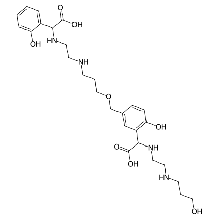 O=C(O)C(NCCNCCCO)c1cc(COCCCNCCNC(C(=O)O)c2ccccc2O)ccc1O